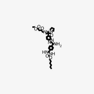 CCCCCCOC(=O)NC(=N)c1ccc(C(N)c2nc3cc(C(C)(CNCC(=O)CC(=O)OCC)C(=O)N4CCCC4)ccc3n2C)cc1